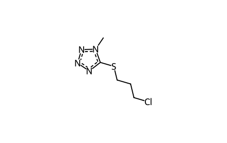 Cn1nnnc1SCCCCl